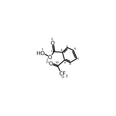 O=C(OO)c1ccccc1C(=O)C(F)(F)F